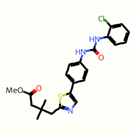 COC(=O)CC(C)(C)Cc1ncc(-c2ccc(NC(=O)Nc3ccccc3Cl)cc2)s1